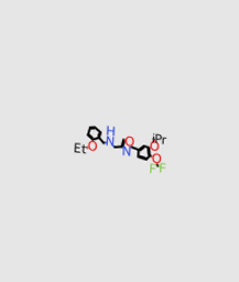 CCOc1ccccc1CNCc1coc(-c2ccc(OC(F)F)c(OC(C)C)c2)n1